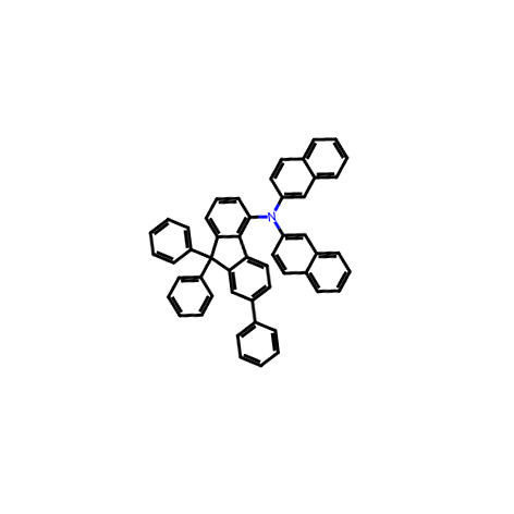 c1ccc(-c2ccc3c(c2)C(c2ccccc2)(c2ccccc2)c2cccc(N(c4ccc5ccccc5c4)c4ccc5ccccc5c4)c2-3)cc1